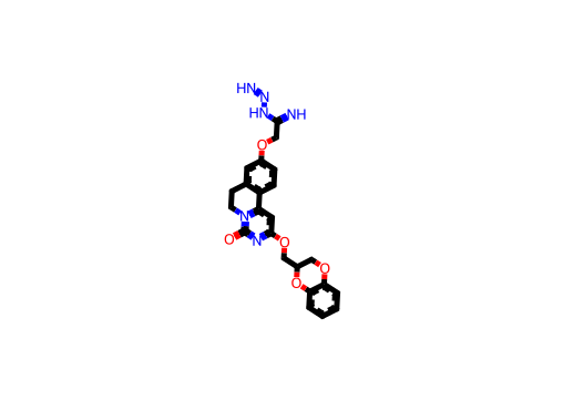 N=NNC(=N)COc1ccc2c(c1)CCn1c-2cc(OCC2COc3ccccc3O2)nc1=O